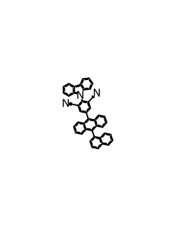 N#Cc1cc(-c2c3ccccc3c(-c3cccc4ccccc34)c3ccccc23)cc(C#N)c1-n1c2ccccc2c2ccccc21